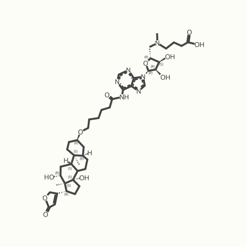 CN(CCCC(=O)O)C[C@H]1O[C@@H](n2cnc3c(NC(=O)CCCCCO[C@@H]4CC[C@@]5(C)[C@H](CCC6[C@@H]5C[C@@H](O)[C@]5(C)[C@@H](C7=CC(=O)OC7)CC[C@]65O)C4)ncnc32)[C@H](O)[C@@H]1O